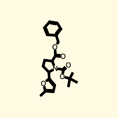 Cc1ccc(C2CCC(C(=O)OCc3ccccc3)N2C(=O)OC(C)(C)C)o1